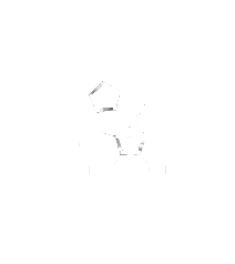 C[C]1=[Sb][SbH]([Zr+2])([C]2=CC=CC2)[C](C)=C1C.[Cl-].[Cl-]